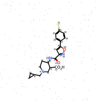 O=C(NC1CCN(CC2CC2)CC1C(=O)O)c1cc(-c2ccc(F)cc2)on1